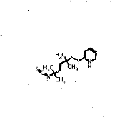 CC(C)(CCC(C)(C)SSC1=CC=CCN1)N=C=S